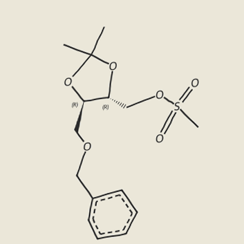 CC1(C)O[C@H](COCc2ccccc2)[C@@H](COS(C)(=O)=O)O1